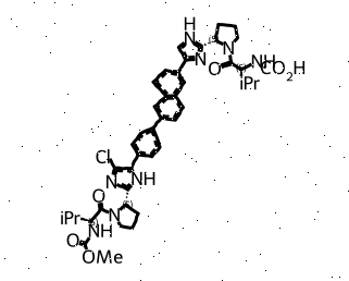 COC(=O)N[C@H](C(=O)N1CCC[C@H]1c1nc(Cl)c(-c2ccc(-c3ccc4cc(-c5c[nH]c([C@@H]6CCCN6C(=O)[C@@H](NC(=O)O)C(C)C)n5)ccc4c3)cc2)[nH]1)C(C)C